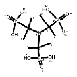 CC(C)(N(C(C)(C)P(=O)(O)O)C(C)(C)P(=O)(O)O)P(=O)(O)O